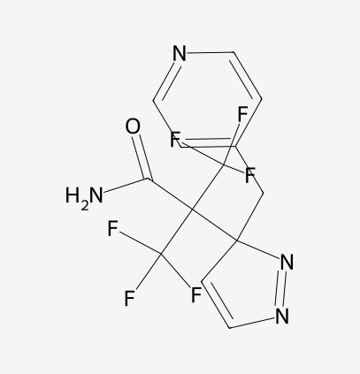 NC(=O)C(C(F)(F)F)(C(F)(F)F)C1(Cc2ccncc2)C=CN=N1